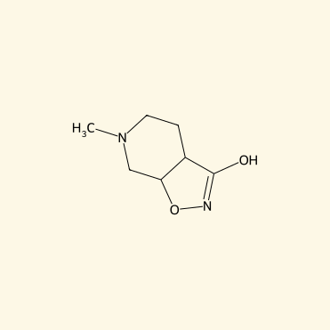 CN1CCC2C(O)=NOC2C1